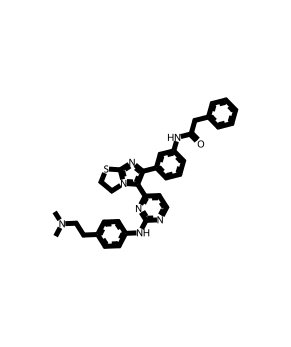 CN(C)CCc1ccc(Nc2nccc(-c3c(-c4cccc(NC(=O)Cc5ccccc5)c4)nc4n3CCS4)n2)cc1